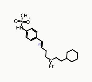 CCN(CC/C=C/c1ccc(NS(C)(=O)=O)cc1)CCC1CCCCC1